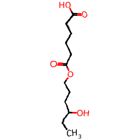 CCC(O)CCCOC(=O)CCCCC(=O)O